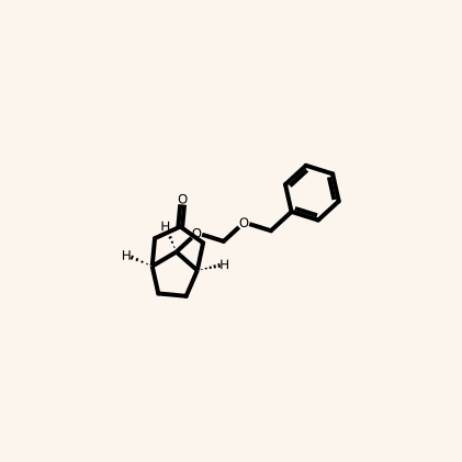 O=C1C[C@H]2CC[C@@H](C1)[C@H]2OCOCc1ccccc1